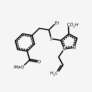 C=CCn1ncc(C(=O)O)c1SC(CC)Cc1cccc(C(=O)OC)c1